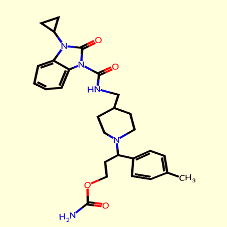 Cc1ccc(C(CCOC(N)=O)N2CCC(CNC(=O)n3c(=O)n(C4CC4)c4ccccc43)CC2)cc1